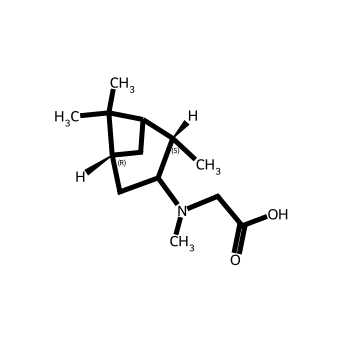 C[C@@H]1C(N(C)CC(=O)O)C[C@H]2CC1C2(C)C